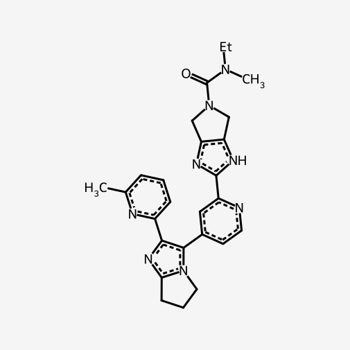 CCN(C)C(=O)N1Cc2nc(-c3cc(-c4c(-c5cccc(C)n5)nc5n4CCC5)ccn3)[nH]c2C1